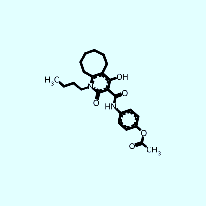 CCCCn1c2c(c(O)c(C(=O)Nc3ccc(OC(C)=O)cc3)c1=O)CCCCCC2